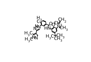 C=CCN(C)c1cc(C(C)(C)C)cc(NC(=O)c2ccc(C)c(-n3cc(-c4cnn(C)c4C)nn3)c2)c1OC